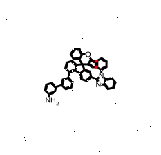 Nc1cccc(-c2cccc(-c3cccc4c3-c3ccc(-c5nc6ccccc6n5-c5ccccc5)cc3C43c4ccccc4Oc4ccccc43)c2)c1